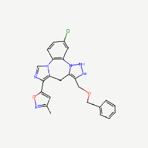 Cc1cc(-c2ncn3c2CC2=C(COCc4ccccc4)NNN2c2cc(Cl)ccc2-3)on1